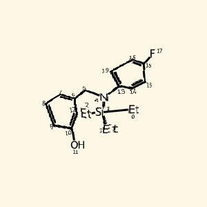 CC[Si](CC)(CC)N(Cc1cccc(O)c1)c1ccc(F)cc1